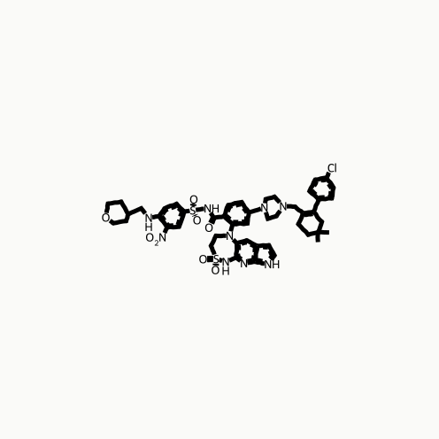 CC1(C)CCC(CN2CCN(c3ccc(C(=O)NS(=O)(=O)c4ccc(NCC5CCOCC5)c([N+](=O)[O-])c4)c(N4CCS(=O)(=O)Nc5nc6[nH]ccc6cc54)c3)CC2)=C(c2ccc(Cl)cc2)C1